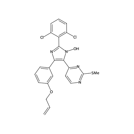 C=CCOc1cccc(-c2nc(-c3c(Cl)cccc3Cl)n(O)c2-c2ccnc(SC)n2)c1